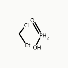 CCCCl.O=[PH2]O